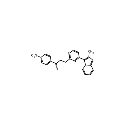 CC1=C(c2ccnc(CCC(=O)c3ccc([N+](=O)[O-])cc3)n2)C2C=CC=CC2=C1